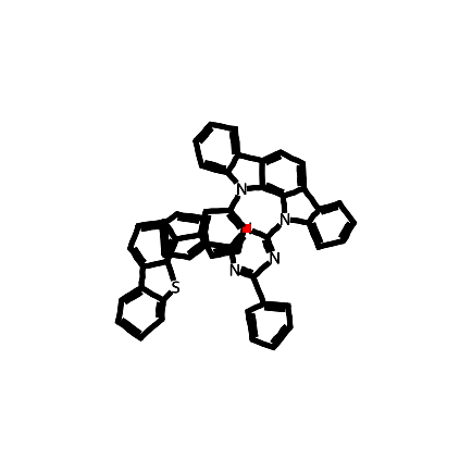 c1ccc(-c2nc(-c3ccccc3)nc(-n3c4ccccc4c4ccc5c6ccccc6n(-c6cccc(-c7cccc8c7sc7ccccc78)c6)c5c43)n2)cc1